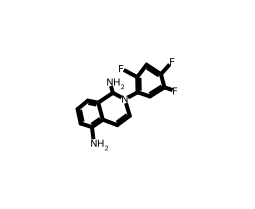 Nc1cccc2c1C=CN(c1cc(F)c(F)cc1F)C2N